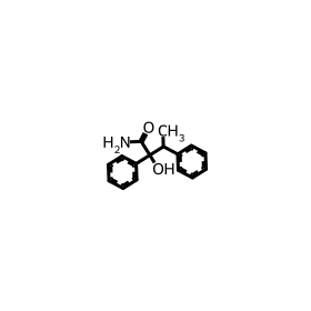 CC(c1ccccc1)C(O)(C(N)=O)c1ccccc1